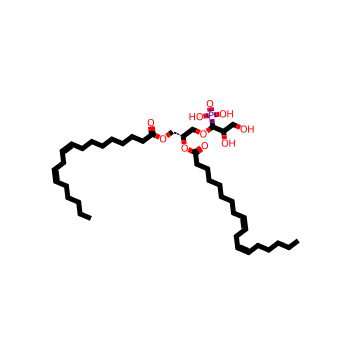 CCCCC/C=C\C/C=C\CCCCCCCC(=O)OC[C@H](COC(C(O)CO)P(=O)(O)O)OC(=O)CCCCCCC/C=C\C/C=C\CCCCC